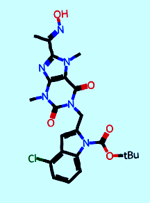 C/C(=N\O)c1nc2c(c(=O)n(Cc3cc4c(Cl)cccc4n3C(=O)OC(C)(C)C)c(=O)n2C)n1C